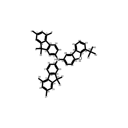 Cc1cc(C)c2c(c1)C(C)(C)c1cc(N(c3ccc4c(c3)C(C)(C)c3cc(C)cc(C)c3-4)c3ccc4oc5c(C(C)(C)C)cccc5c4c3)ccc1-2